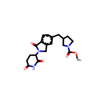 CC(C)(C)OC(=O)N1CCC(Cc2ccc3c(c2)CN(C2CCC(=O)NC2=O)C3=O)C1